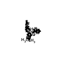 CC1(C)Cc2cc(NC(=O)c3cnn4cccnc34)c(N3CCC4(CC3)CN(CC(F)F)C4)cc2O1